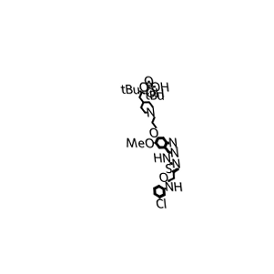 COc1cc2c(Nc3ncc(CC(=O)Nc4cccc(Cl)c4)s3)ncnc2cc1OCCCN1CCC(CC(OP(=O)(O)O)(C(C)(C)C)C(C)(C)C)CC1